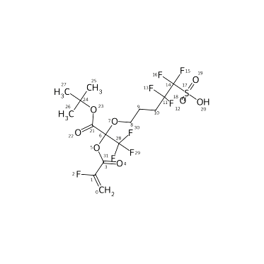 C=C(F)C(=O)OC(OCCCC(F)(F)C(F)(F)S(=O)(=O)O)(C(=O)OC(C)(C)C)C(F)(F)F